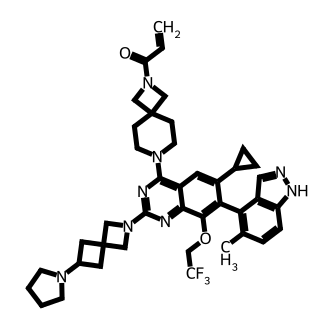 C=CC(=O)N1CC2(CCN(c3nc(N4CC5(CC(N6CCCC6)C5)C4)nc4c(OCC(F)(F)F)c(-c5c(C)ccc6[nH]ncc56)c(C5CC5)cc34)CC2)C1